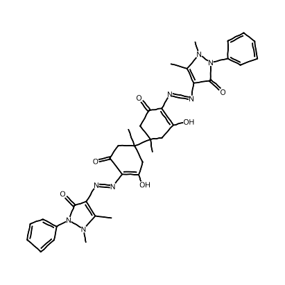 Cc1c(N=NC2=C(O)CC(C)(C3(C)CC(=O)C(N=Nc4c(C)n(C)n(-c5ccccc5)c4=O)=C(O)C3)CC2=O)c(=O)n(-c2ccccc2)n1C